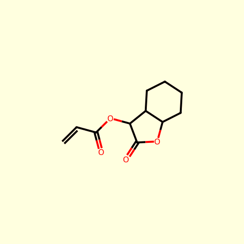 C=CC(=O)OC1C(=O)OC2CCCCC21